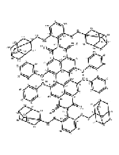 O=C1c2cc(Oc3ccccc3)c3c4c(Oc5ccccc5)cc5c6c(cc(Oc7ccccc7)c(c7c(Oc8ccccc8)cc(c2c37)C(=O)N1c1c(CCC23CC7CC(CC(C7)C2)C3)cccc1CCC12CC3CC(CC(C3)C1)C2)c64)C(=O)N(c1c(CCC23CC4CC(CC(C4)C2)C3)cccc1CCC12CC3CC(CC(C3)C1)C2)C5=O